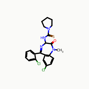 CN1C(=O)C(NC(=S)N2CCCCC2)N=C(c2ccccc2Cl)c2cc(Cl)ccc21